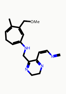 C=N/C=C\C1=NCCN=C1CNC1=CCC=C(C)C(COC)=C1